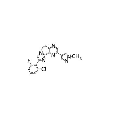 Cn1cc(-c2cnc3ccn4cc(-c5c(F)cccc5Cl)nc4c3n2)cn1